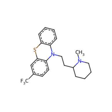 CN1CCCCC1CCN1c2ccccc2Sc2cc(C(F)(F)F)ccc21